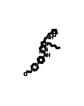 CCCCCn1c(CNCc2ccco2)cc2cnc(Nc3ccc(N4CCN(CC=O)CC4)cc3)nc21